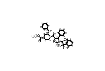 CCCCC(O)(c1ccccc1)[C@H](C)n1cnc(C(=O)N2CCN(C(=O)OC(C)(C)C)C[C@H]2Cc2ccccc2)c1-c1ccccc1